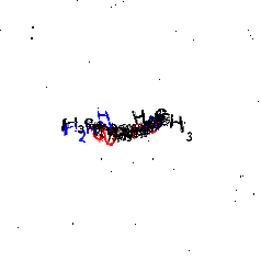 CCC(CCNC(=O)C1CC=C(c2ccc(OCC3CCN(c4nc(C(C)C)no4)CC3)cc2)CC1)C(N)=O